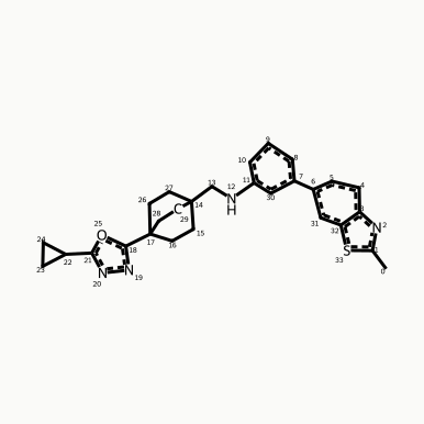 Cc1nc2ccc(-c3cccc(NCC45CCC(c6nnc(C7CC7)o6)(CC4)CC5)c3)cc2s1